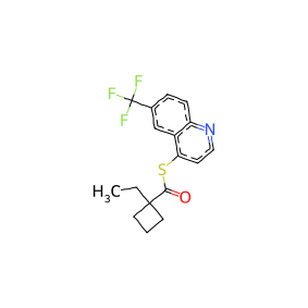 CCC1(C(=O)Sc2ccnc3ccc(C(F)(F)F)cc23)CCC1